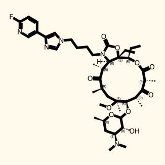 CC[C@H]1OC(=O)[C@H](C)C(=O)[C@H](C)[C@@H](OC2O[C@H](C)C[C@H](N(C)C)[C@H]2O)[C@@](C)(OC)C[C@@H](C)C(=O)[C@H](C)[C@H]2N(CCCCn3cnc(-c4ccc(F)nc4)c3)C(=O)O[C@]12CC